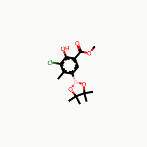 COC(=O)c1cc(B2OC(C)(C)C(C)(C)O2)c(C)c(Cl)c1O